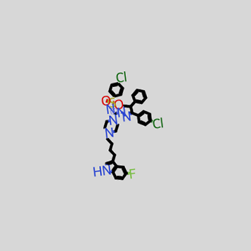 O=S(=O)(/N=C(/N1CCN(CCCCc2c[nH]c3ccc(F)cc23)CC1)N1CC(c2ccccc2)C(c2ccc(Cl)cc2)=N1)c1ccc(Cl)cc1